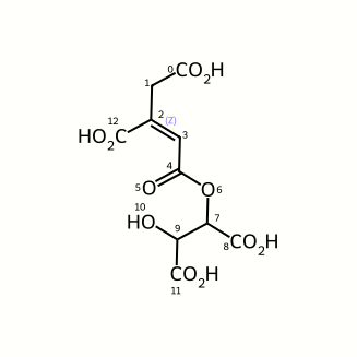 O=C(O)C/C(=C/C(=O)OC(C(=O)O)C(O)C(=O)O)C(=O)O